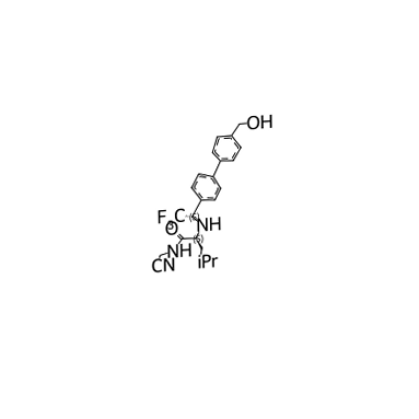 CC(C)C[C@H](N[C@@H](c1ccc(-c2ccc(CO)cc2)cc1)C(F)(F)F)C(=O)NCC#N